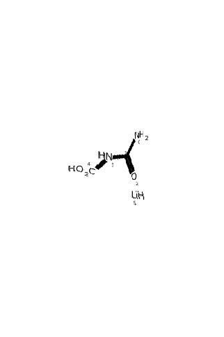 NC(=O)NC(=O)O.[LiH]